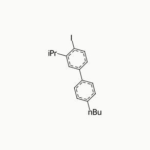 CCCCc1ccc(-c2ccc(I)c(C(C)C)c2)cc1